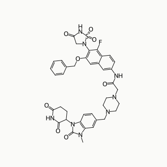 Cn1c(=O)n(C2CCC(=O)NC2=O)c2ccc(CN3CCN(CC(=O)Nc4ccc5c(F)c(N6CC(=O)NS6(=O)=O)c(OCc6ccccc6)cc5c4)CC3)cc21